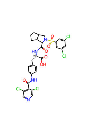 O=C(Nc1ccc(C[C@H](NC(=O)C2C3CCCC3CN2S(=O)(=O)c2cc(Cl)cc(Cl)c2)C(=O)O)cc1)c1c(Cl)cncc1Cl